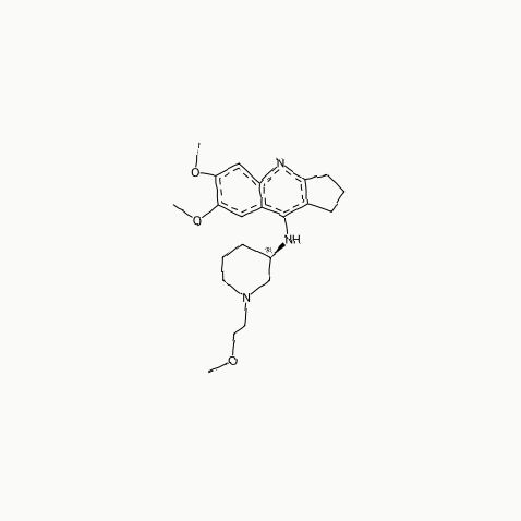 COCCN1CCC[C@@H](Nc2c3c(nc4cc(OC)c(OC)cc24)CCC3)C1